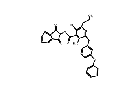 CCCc1nc(Cc2cccc(Oc3ccccc3)c2)c(C)c(C(=O)ON2C(=O)c3ccccc3C2=O)c1O